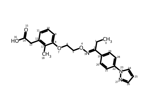 CC/C(=N\OCCOc1cccc(CC(=O)O)c1C)c1ccc(-n2cccn2)cc1